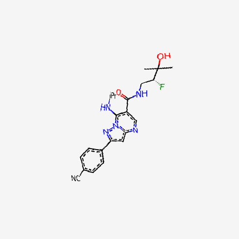 CC(C)Nc1c(C(=O)NC[C@@H](F)C(C)(C)O)cnc2cc(-c3ccc(C#N)cc3)nn12